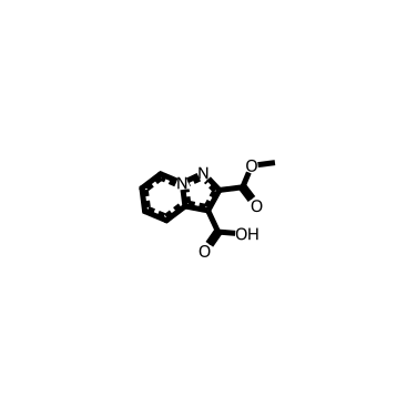 COC(=O)c1nn2ccccc2c1C(=O)O